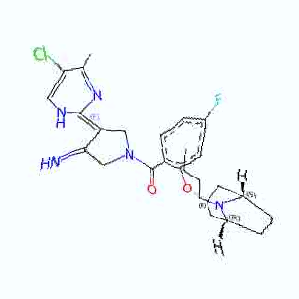 CCCCN1[C@@H]2CC[C@H]1C[C@@H](Oc1cc(F)ccc1C(=O)N1CC(=N)/C(=C3/N=C(C)C(Cl)=CN3)C1)C2